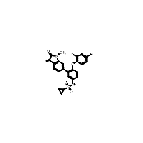 CN1C(=O)C(=O)c2ccc(-c3cc(NS(=O)(=O)C4CC4)ccc3Oc3ccc(F)cc3F)cc21